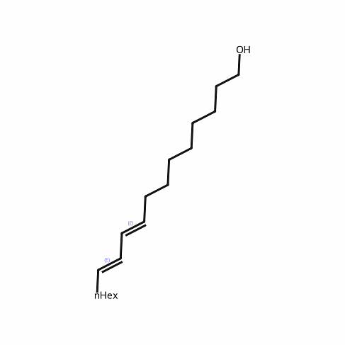 CCCCCC/C=C/C=C/CCCCCCCCO